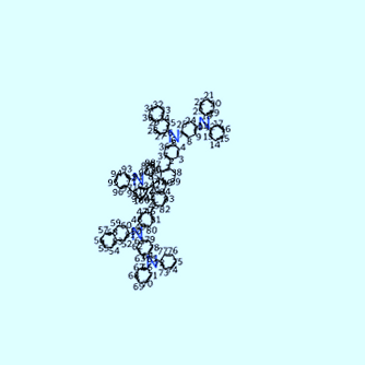 C1=C(c2ccc(N(C3=CC=C(N(c4ccccc4)c4ccccc4)CC3)c3ccc4ccccc4c3)cc2)CCC2=C1C1(c3cc(-c4ccc(N(C5=Cc6ccccc6CC5)c5ccc(N(c6ccccc6)c6ccccc6)cc5)cc4)ccc32)c2ccccc2-n2c3ccccc3c3cccc1c32